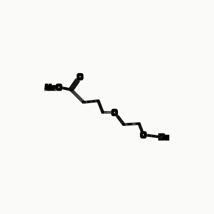 CCC(C)OCCOCCCC(=O)OC